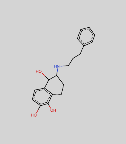 Oc1ccc2c(c1O)CCC(NCCCc1ccccc1)C2O